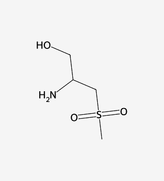 CS(=O)(=O)CC(N)CO